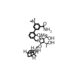 COc1c(CN2O[C@@H](CO)[C@@H]([C@H](C)O)[C@H]2OCN[C@H]2C[C@H]3C[C@@H]([C@@H]2C)C3(C)C)cccc1-c1cc(C(N)=O)cc(N(C)C)c1